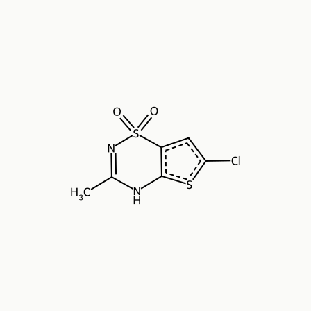 CC1=NS(=O)(=O)c2cc(Cl)sc2N1